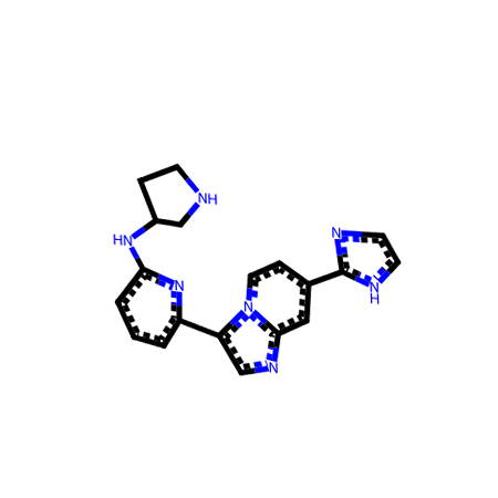 c1cc(NC2CCNC2)nc(-c2cnc3cc(-c4ncc[nH]4)ccn23)c1